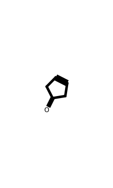 O=C1CC#CC1